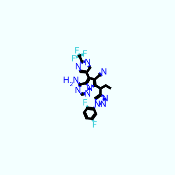 CCC(c1cn(-c2cc(F)ccc2F)nn1)c1c(C#N)c(-c2cnc(C(F)(F)F)nc2)c2c(N)ncnn12